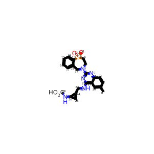 Cc1ccc2nc(N3CCS(=O)(=O)c4ccccc4C3)nc(NCC3CC3NC(=O)O)c2c1